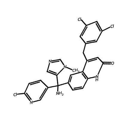 Cn1cncc1C(N)(c1ccc(Cl)nc1)c1ccc2[nH]c(=O)cc(Cc3cc(Cl)cc(Cl)c3)c2c1